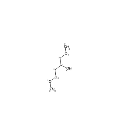 COCC(O)COOC